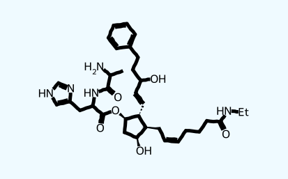 CCNC(=O)CCC/C=C\C[C@@H]1[C@@H](/C=C/C(O)CCc2ccccc2)[C@H](OC(=O)C(Cc2c[nH]cn2)NC(=O)C(C)N)C[C@@H]1O